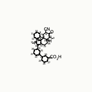 C[C@@H]1C(=O)C(C#N)C[C@@]2(c3ccccc3)c3nn(C)c(-c4cccc(-c5cccc(C(=O)O)c5)c4)c3CC[C@@H]12